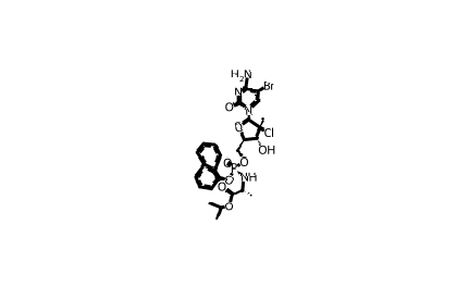 CC(C)OC(=O)[C@@H](C)N[P@@](=O)(OC[C@H]1O[C@@H](n2cc(Br)c(N)nc2=O)[C@](C)(Cl)[C@@H]1O)Oc1cccc2ccccc12